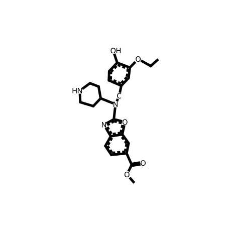 CCOc1cc(CN(c2nc3ccc(C(=O)OC)cc3o2)C2CCNCC2)ccc1O